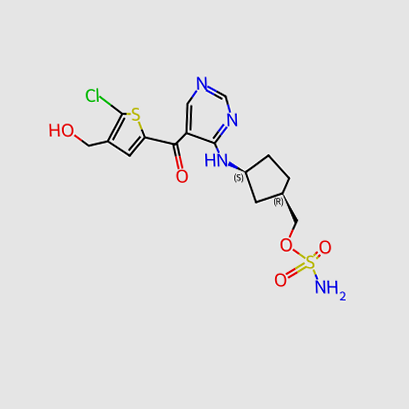 NS(=O)(=O)OC[C@@H]1CC[C@H](Nc2ncncc2C(=O)c2cc(CO)c(Cl)s2)C1